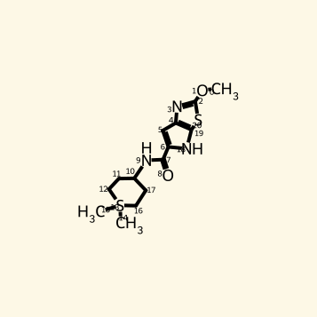 COc1nc2cc(C(=O)NC3CCS(C)(C)CC3)[nH]c2s1